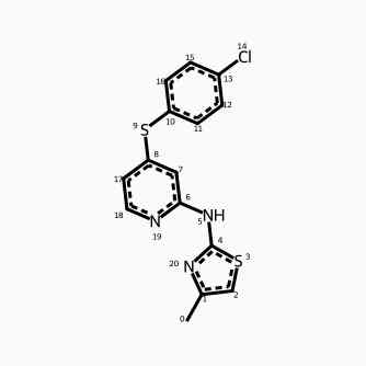 Cc1csc(Nc2cc(Sc3ccc(Cl)cc3)ccn2)n1